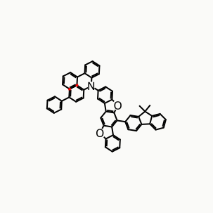 CC1(C)c2ccccc2-c2ccc(-c3c4oc5ccc(N(c6ccc(-c7ccccc7)cc6)c6ccccc6-c6ccccc6)cc5c4cc4oc5ccccc5c34)cc21